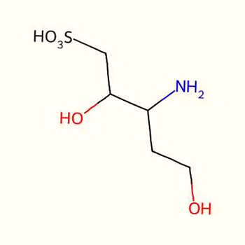 NC(CCO)C(O)CS(=O)(=O)O